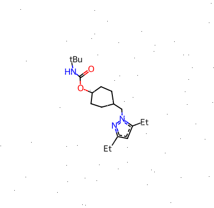 CCc1cc(CC)n(CC2CCC(OC(=O)NC(C)(C)C)CC2)n1